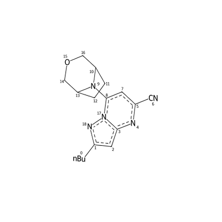 CCCCc1cc2nc(C#N)cc(N3C4CCC3COC4)n2n1